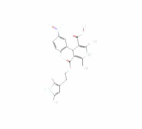 COC(=O)C1=C(C)NC(C)=C(C(=O)OCCc2cc(C)[nH]c2C)C1c1cc([N+](=O)[O-])ccc1Cl